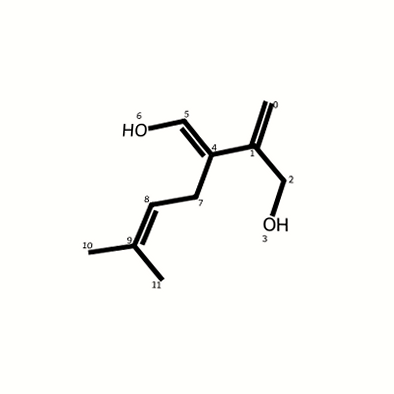 C=C(CO)C(=CO)CC=C(C)C